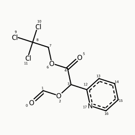 O=[C]OC(C(=O)OCC(Cl)(Cl)Cl)c1ccccn1